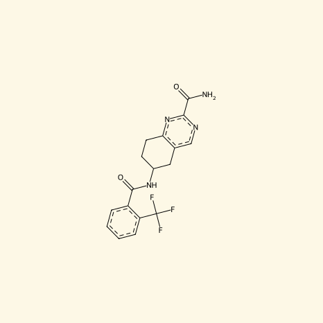 NC(=O)c1ncc2c(n1)CCC(NC(=O)c1ccccc1C(F)(F)F)C2